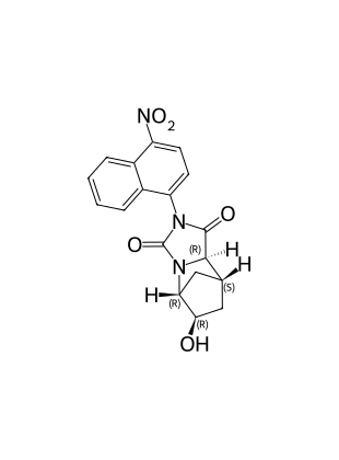 O=C1[C@H]2[C@@H]3C[C@@H](O)[C@@H](C3)N2C(=O)N1c1ccc([N+](=O)[O-])c2ccccc12